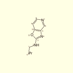 CC(C)CNc1nc2cnccc2o1